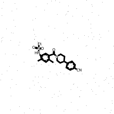 CCS(=O)(=O)Nc1cc(C(=O)N2CCC(c3ccc(C#N)cc3)CC2)c(C)cc1C